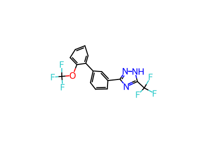 FC(F)(F)Oc1ccccc1-c1cccc(-c2n[nH]c(C(F)(F)F)n2)c1